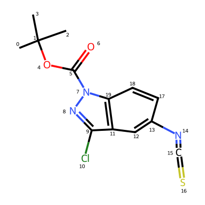 CC(C)(C)OC(=O)n1nc(Cl)c2cc(N=C=S)ccc21